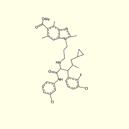 COC(=O)c1c(C)cc2c(nc(C)n2CCCNC(C(=O)Nc2cccc(Cl)c2)C(c2cccc(Cl)c2F)C(C)CC2CC2)c1C